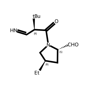 CC[C@@H]1C[C@@H](C=O)N(C(=O)[C@@H](C=N)C(C)(C)C)C1